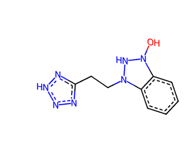 ON1NN(CCc2nn[nH]n2)c2ccccc21